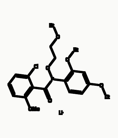 CCOCCOP(C(=O)c1c(Cl)cccc1OC)c1ccc(OCC)cc1OCC.[Li]